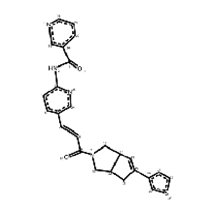 O=C(Nc1ccc(/C=C/C(=O)N2CC3C=C(c4ccsc4)CC3C2)cn1)c1cccnc1